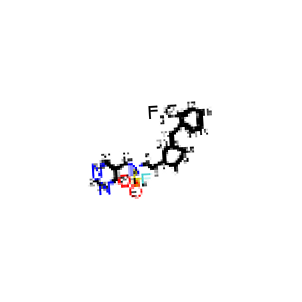 O=S(=O)(F)N(CCc1cccc(Cc2ccccc2C(F)(F)F)c1)Cc1cncnc1